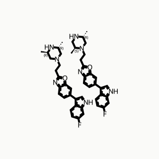 C[C@@H]1CN(CCc2nc3ccc(-c4c[nH]c5cc(F)ccc45)cc3o2)C[C@@H](C)N1.C[C@@H]1CN(CCc2nc3ccc(-c4c[nH]c5cc(F)ccc45)cc3o2)[C@@H](C)CN1